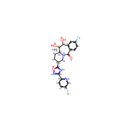 O=C1c2ccc(F)cc2C(O)C(O)[C@@H]2CC[C@H](c3nc(-c4ccc(F)cn4)no3)CN12